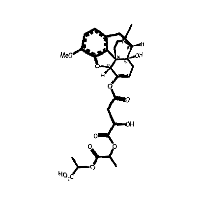 COc1ccc2c3c1O[C@H]1C(OC(=O)CC(O)C(=O)OC(C)C(=O)OC(C)C(=O)O)=CC[C@@]4(O)[C@@H](C2)N(C)CC[C@]314